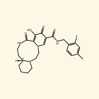 O=C(NCc1ccc(F)cc1F)c1cn2c(c(O)c1=O)C(=O)NCC[C@H]1CCCCN1CC2